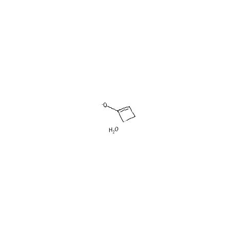 O.[O]C1=CCC1